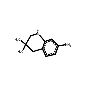 CC1(C)CNc2cc(N)ccc2C1